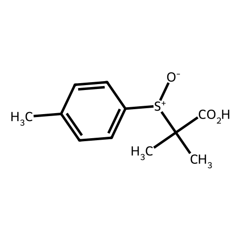 Cc1ccc([S+]([O-])C(C)(C)C(=O)O)cc1